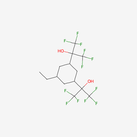 CCC1CC(C(O)(C(F)(F)F)C(F)(F)F)CC(C(O)(C(F)(F)F)C(F)(F)F)C1